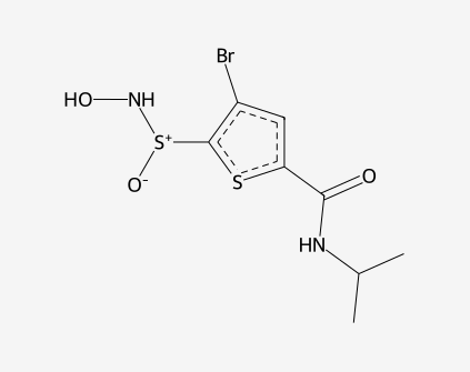 CC(C)NC(=O)c1cc(Br)c([S+]([O-])NO)s1